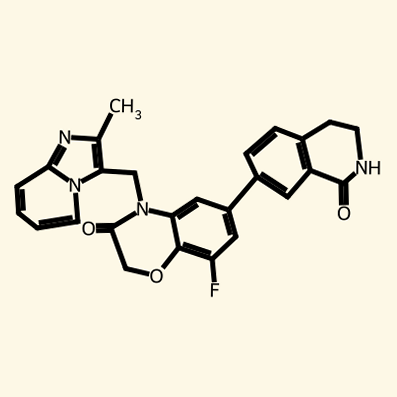 Cc1nc2ccccn2c1CN1C(=O)COc2c(F)cc(-c3ccc4c(c3)C(=O)NCC4)cc21